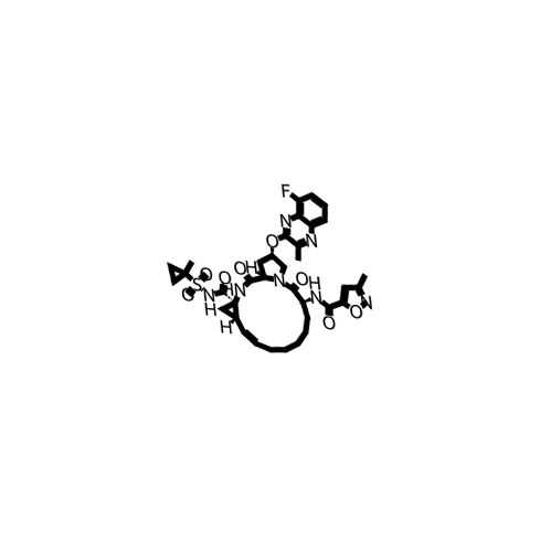 Cc1cc(C(=O)N[C@H]2CCCCC/C=C\[C@@H]3C[C@@]3(C(=O)NS(=O)(=O)C3(C)CC3)NC(=O)[C@@H]3C[C@@H](Oc4nc5c(F)cccc5nc4C)CN3C2=O)on1